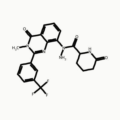 Cn1c(-c2cccc(C(F)(F)F)c2)nc2c(N(N)C(=O)C3CCCC(=O)N3)cccc2c1=O